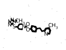 Cc1ccnc(CCc2ccc(OC(=O)N3CCC(Sc4nnnn4C)CC3)cc2)c1